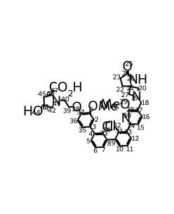 COc1cc(-c2cccc(-c3cccc(-c4ccc(CN5CC6(CCC(=O)N6)C5)c(OC)n4)c3Cl)c2Cl)ccc1OCCN1C[C@@H](O)C[C@H]1C(=O)O